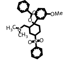 COc1cccc(C2(OC(=O)c3ccccc3)CCC(S(=O)(=O)c3ccccc3)CC2CN(C)C)c1